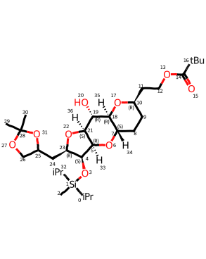 CC(C)[Si](C)(O[C@@H]1[C@@H]2O[C@H]3CC[C@H](CCOC(=O)C(C)(C)C)O[C@@H]3[C@@H](O)[C@@H]2O[C@@H]1CC1COC(C)(C)O1)C(C)C